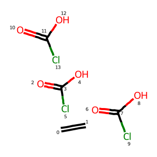 C=C.O=C(O)Cl.O=C(O)Cl.O=C(O)Cl